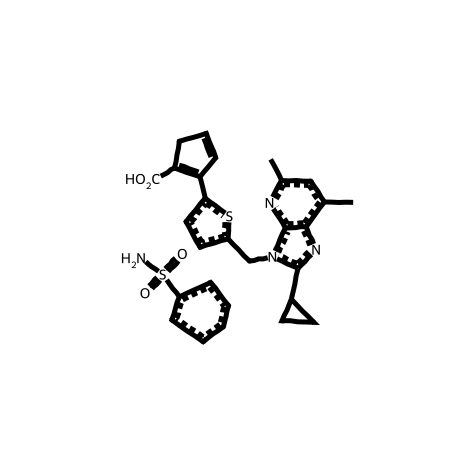 Cc1cc(C)c2nc(C3CC3)n(Cc3ccc(C4=C(C(=O)O)CC=C4)s3)c2n1.NS(=O)(=O)c1ccccc1